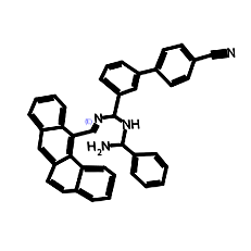 N#Cc1ccc(-c2cccc(C(/N=C/c3c4ccccc4cc4ccc5ccccc5c34)NC(N)c3ccccc3)c2)cc1